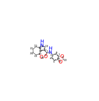 O=C(Nc1ccc2c(c1)OCO2)c1c[nH]c2c1C(=O)CCCC2